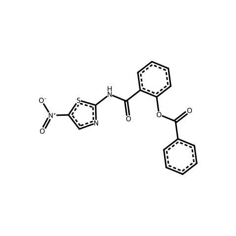 O=C(Oc1ccccc1C(=O)Nc1ncc([N+](=O)[O-])s1)c1ccccc1